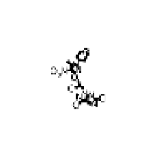 Cc1c([N+](=O)[O-])c(OCC(Cl)Cn2nc(Cl)c3cnc(Cl)nc32)nn1C1CCOCC1